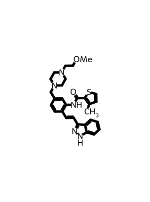 COCCN1CCN(Cc2ccc(C=Cc3n[nH]c4ccccc34)c(NC(=O)c3sccc3C)c2)CC1